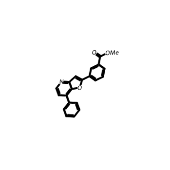 COC(=O)c1cccc(-c2cc3nccc(-c4ccccc4)c3o2)c1